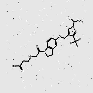 CC(C)n1cc(COc2ccc3c(c2)CCN3C(=O)CNCCC(=O)O)c(C(F)(F)F)n1